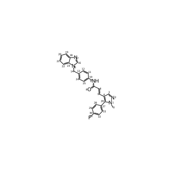 Cn1ncc(C=CC(=O)Nc2ccc(Cn3cnc4ccccc43)cc2)c1-c1ccc(F)cc1